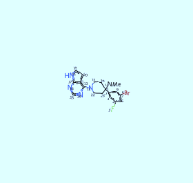 CNC1(c2cc(F)cc(Br)c2)CCN(c2ncnc3[nH]ccc23)CC1